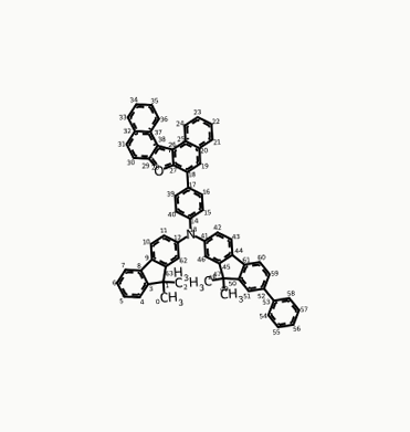 CC1(C)c2ccccc2-c2ccc(N(c3ccc(-c4cc5ccccc5c5c4oc4ccc6ccccc6c45)cc3)c3ccc4c(c3)C(C)(C)c3cc(-c5ccccc5)ccc3-4)cc21